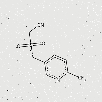 N#CCS(=O)(=O)Cc1ccc(C(F)(F)F)nc1